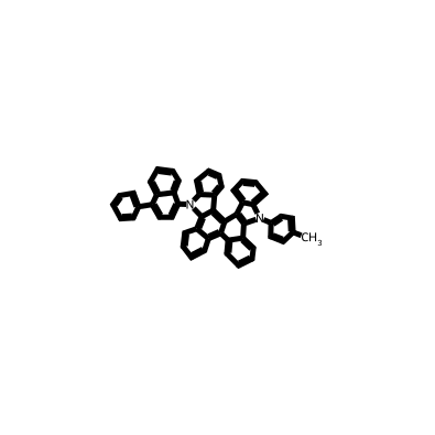 Cc1ccc(-n2c3ccccc3c3c4c(c5ccccc5c32)c2ccccc2c2c4c3ccccc3n2-c2ccc(-c3ccccc3)c3ccccc23)cc1